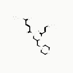 COC(=O)C=CC(=O)OCC(CN1CCOCC1)OC(=O)C=CC(=O)O